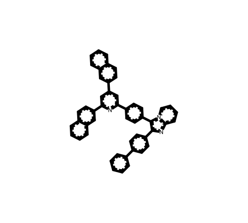 c1ccc(-c2ccc(-c3nc4ccccn4c3-c3ccc(-c4cc(-c5ccc6ccccc6c5)cc(-c5ccc6ccccc6c5)n4)cc3)cc2)cc1